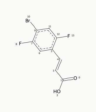 O=C(O)C=Cc1cc(F)c(Br)cc1F